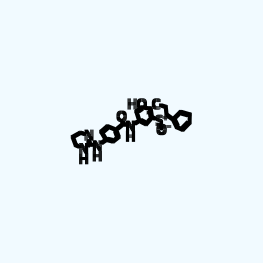 O=C(O)CC(c1ccccc1)[S+]([O-])c1cccc(NC(=O)c2ccc(NC3=NCCCN3)cc2)c1